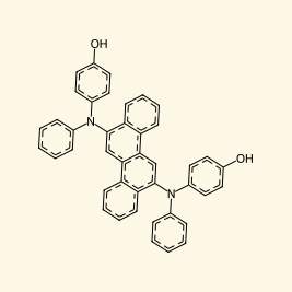 Oc1ccc(N(c2ccccc2)c2cc3c4ccccc4c(N(c4ccccc4)c4ccc(O)cc4)cc3c3ccccc23)cc1